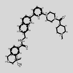 CN1CCC(C(=O)N2CCN(c3cccc(-c4ccc5cnc(CNC(=O)c6ccc7c(c6)[C@](C)(C#N)COC7)cc5n4)n3)CC2)CC1